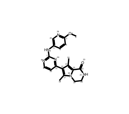 COc1ccc(Nc2nccc(-c3c(C)c4n(c3C)CCNC4=O)n2)cn1